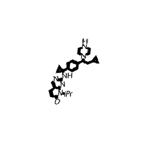 CC(C)n1c(=O)ccc2cnc(NC3(c4ccc(C(CC5CC5)N5CCNCC5)cc4)CC3)nc21